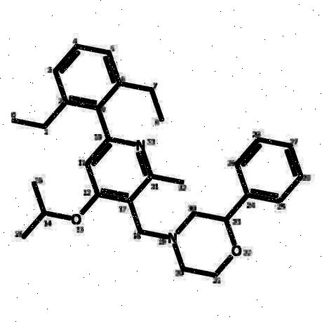 CCc1cccc(CC)c1-c1cc(OC(C)C)c(CN2CCOC(c3ccccc3)C2)c(C)n1